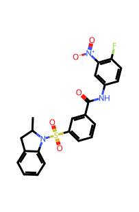 CC1Cc2ccccc2N1S(=O)(=O)c1cccc(C(=O)Nc2ccc(F)c([N+](=O)[O-])c2)c1